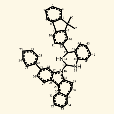 CC1(C)c2ccccc2-c2ccc(C3NC(n4c5cc(-c6ccccc6)ccc5c5c6ccccc6ccc54)Nc4ccccc43)cc21